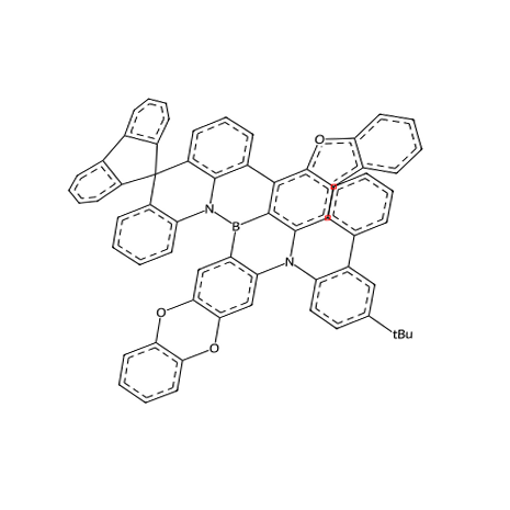 CC(C)(C)c1ccc(N2c3cc4c(cc3B3c5c2cc2c(oc6ccccc62)c5-c2cccc5c2N3c2ccccc2C52c3ccccc3-c3ccccc32)Oc2ccccc2O4)c(-c2ccccc2)c1